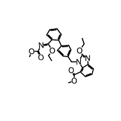 CCOC(=NC(=O)OC)c1ccccc1-c1ccc(Cn2c(OCC)nc3cccc(C(=O)OC)c32)cc1